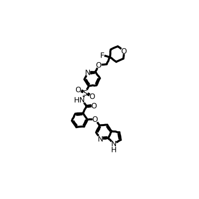 O=C(NS(=O)(=O)c1ccc(OCC2(F)CCOCC2)nc1)c1ccccc1Oc1cnc2[nH]ccc2c1